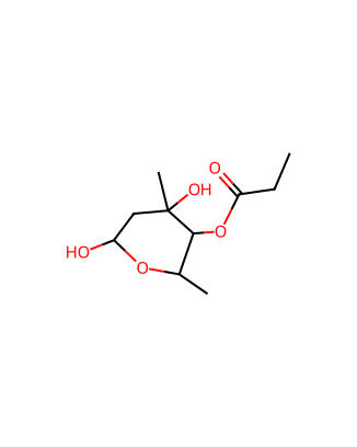 CCC(=O)OC1C(C)OC(O)CC1(C)O